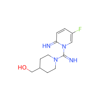 N=C(N1CCC(CO)CC1)n1cc(F)ccc1=N